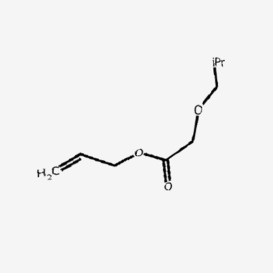 C=CCOC(=O)COCC(C)C